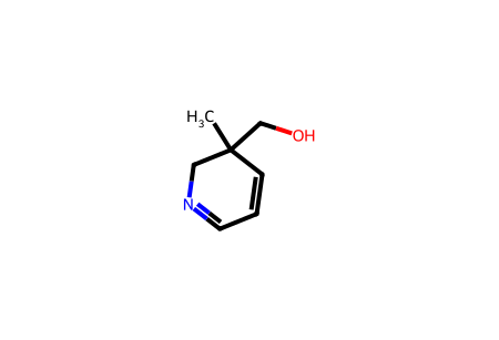 CC1(CO)C=CC=NC1